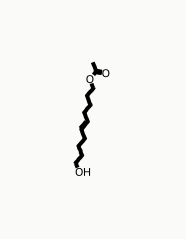 CC(=O)OCCCC/C=C/CCCCO